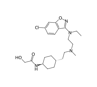 CCN(CCN(C)CC[C@H]1CC[C@H](NC(=O)CO)CC1)c1noc2cc(Cl)ccc12